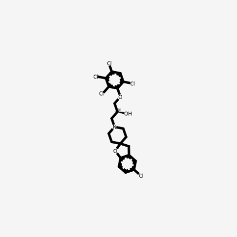 O[C@H](COc1c(Cl)cc(Cl)c(Cl)c1Cl)CN1CCC2(CC1)Cc1cc(Cl)ccc1O2